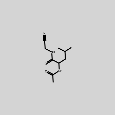 CC(=O)NC(CC(C)C)C(=O)NCC#N